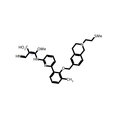 CO/C(Nc1cccc(-c2cccc(C)c2OCc2ccc3c(c2)CCN(CCSC)C3)n1)=C(/C=N)C(=O)O